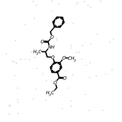 CCOC(=O)c1ccc(OCC(C)NC(=O)OCc2ccccc2)c(OC)c1